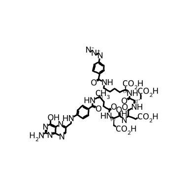 C[C@H](CCC(=O)N[C@H](CC(=O)O)C(=O)NC(CC(=O)O)C(=O)N[C@@H](CC(=O)O)C(=O)N[C@@H](CCCCNC(=O)c1ccc(N=[N+]=[N-])cc1)C(=O)O)NC(=O)c1ccc(NCc2cnc3nc(N)nc(O)c3n2)cc1